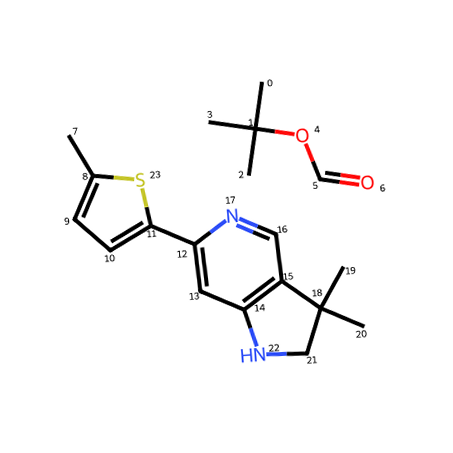 CC(C)(C)OC=O.Cc1ccc(-c2cc3c(cn2)C(C)(C)CN3)s1